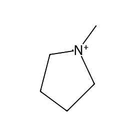 C[N+]1CCCC1